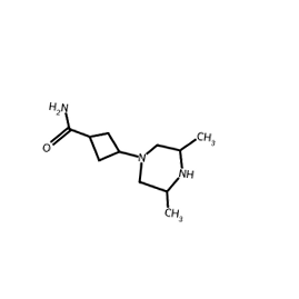 CC1CN(C2CC(C(N)=O)C2)CC(C)N1